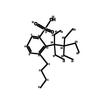 CCCCc1cccc(S(=O)(=O)O)c1C(CC)(CC)C(CC)(CC)CC